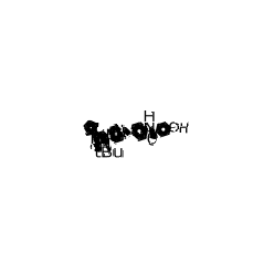 CC(C)(C)c1nc(C2CCCC2)cc(N2CCN(CC[C@H]3CC[C@H](NC(=O)[C@H]4CC[C@@H](O)CC4)CC3)CC2)n1